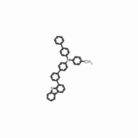 Cc1ccc(N(c2ccc(-c3ccccc3)cc2)c2ccc(-c3cccc(-c4cccc5c4sc4ccccc45)c3)cc2)cc1